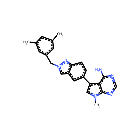 Cc1cc(C)cc(Cn2cc3cc(-c4cn(C)c5ncnc(N)c45)ccc3n2)c1